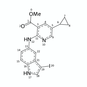 COC(=O)c1cc(C2CC2)cnc1Nc1ccc2[nH]cc(I)c2c1